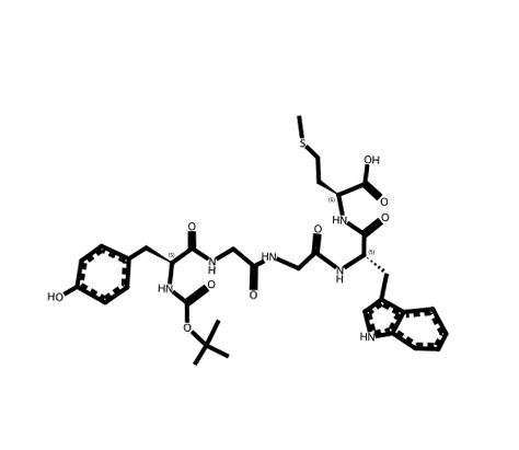 CSCC[C@H](NC(=O)[C@H](Cc1c[nH]c2ccccc12)NC(=O)CNC(=O)CNC(=O)[C@H](Cc1ccc(O)cc1)NC(=O)OC(C)(C)C)C(=O)O